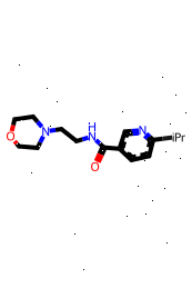 CC(C)c1ccc(C(=O)NCCN2CCOCC2)cn1